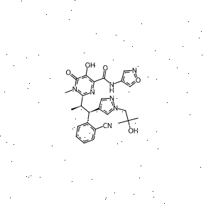 C[C@@H](c1nc(C(=O)Nc2cnoc2)c(O)c(=O)n1C)[C@@H](c1cnn(CC(C)(C)O)c1)c1ccccc1C#N